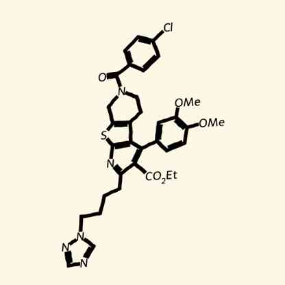 CCOC(=O)c1c(CCCCn2cncn2)nc2sc3c(c2c1-c1ccc(OC)c(OC)c1)CCN(C(=O)c1ccc(Cl)cc1)C3